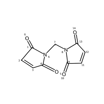 O=C1C=CC(=O)N1[CH]N1C(=O)C=CC1=O